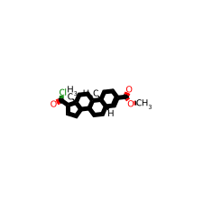 COC(=O)C1=C[C@@H]2CCC3C4CCC(C(=O)Cl)[C@@]4(C)CCC3[C@@]2(C)CC1